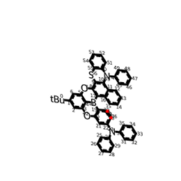 CC(C)(C)c1cc2c3c(c1)Oc1c4c(c5ccccc5c1B3c1c(cc(N(c3ccccc3)c3ccccc3)c3ccccc13)O2)N(c1ccccc1)c1ccccc1S4